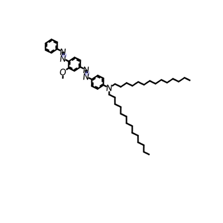 CCCCCCCCCCCCCCN(CCCCCCCCCCCCCC)c1ccc(/N=N/c2ccc(/N=N/c3ccccc3)c(OC)c2)cc1